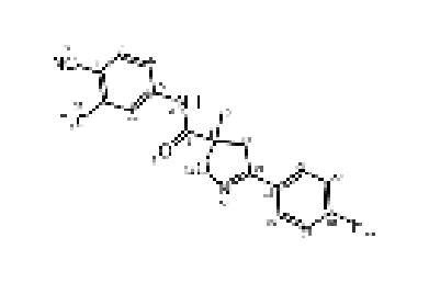 CC1(C(=O)Nc2ccc(C#N)c(C(F)(F)F)c2)CC(c2ccc(F)cc2)=NO1